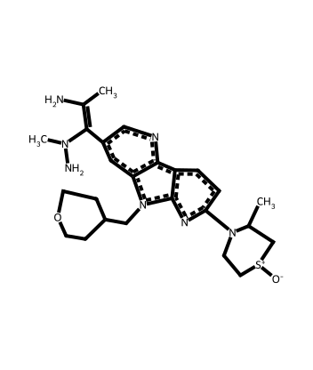 C/C(N)=C(\c1cnc2c3ccc(N4CC[S+]([O-])CC4C)nc3n(CC3CCOCC3)c2c1)N(C)N